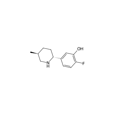 C[C@H]1CC[C@H](c2ccc(F)c(O)c2)NC1